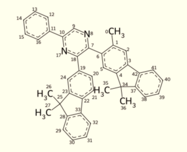 Cc1cc2c(cc1-c1ncc(-c3ccccc3)nc1-c1ccc3c(c1)C(C)(C)c1ccccc1-3)C(C)(C)c1ccccc1-2